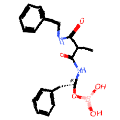 CC(C(=O)NCc1ccccc1)C(=O)N[C@@H](Cc1ccccc1)OB(O)O